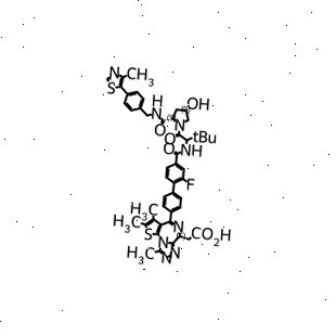 Cc1ncsc1-c1ccc(CNC(=O)[C@@H]2C[C@@H](O)CN2C(=O)C(NC(=O)c2ccc(-c3ccc(C4=N[C@@H](CC(=O)O)c5nnc(C)n5-c5sc(C)c(C)c54)cc3)c(F)c2)C(C)(C)C)cc1